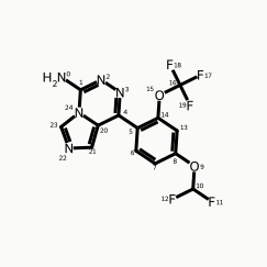 Nc1nnc(-c2ccc(OC(F)F)cc2OC(F)(F)F)c2cncn12